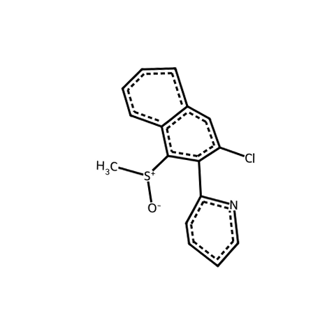 C[S+]([O-])c1c(-c2ccccn2)c(Cl)cc2ccccc12